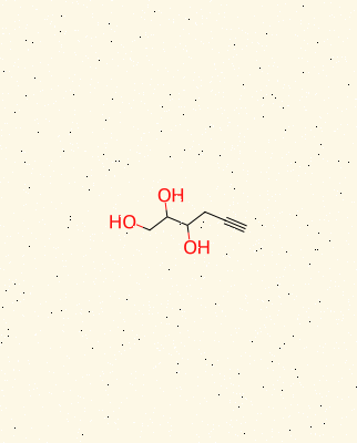 C#CCC(O)C(O)CO